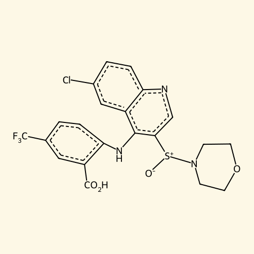 O=C(O)c1cc(C(F)(F)F)ccc1Nc1c([S+]([O-])N2CCOCC2)cnc2ccc(Cl)cc12